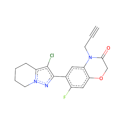 C#CCN1C(=O)COc2cc(F)c(-c3nn4c(c3Cl)CCCC4)cc21